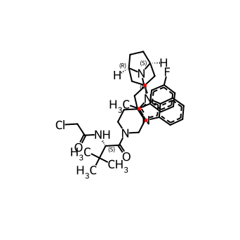 Cc1nc2ccccc2n1[C@H]1C[C@H]2CC[C@@H](C1)N2CCC1(c2cccc(F)c2)CCN(C(=O)[C@@H](NC(=O)CCl)C(C)(C)C)CC1